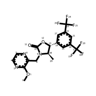 COc1nccnc1CN1C(=O)O[C@H](c2cc(C(F)(F)F)cc(C(F)(F)F)c2)[C@H]1C